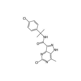 Cc1nc(Cl)nc2c(C(=O)NC(C)(C)c3ccc(Cl)cc3)n[nH]c12